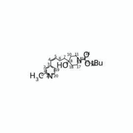 Cc1cc(/C=C\CCC2(O)CCN(C(=O)OC(C)(C)C)CC2)ccn1